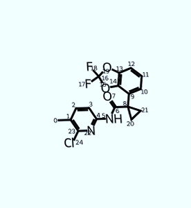 Cc1ccc(NC(=O)C2(c3cccc4c3OC(F)(F)O4)CC2)nc1Cl